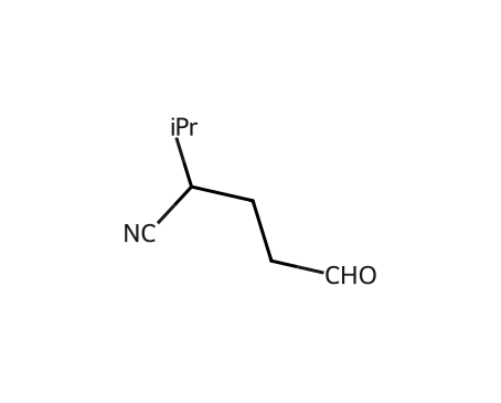 CC(C)C(C#N)CCC=O